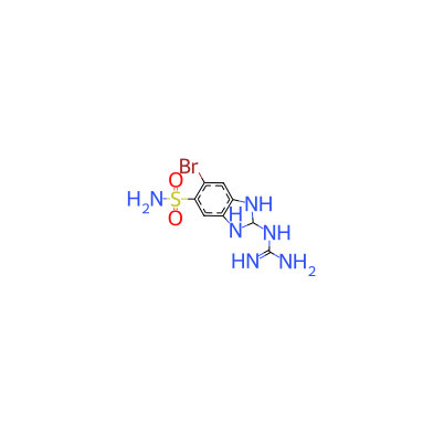 N=C(N)NC1Nc2cc(Br)c(S(N)(=O)=O)cc2N1